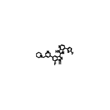 Fc1ccc(-c2ccnc3[nH]c(-c4n[nH]c5c(F)cc(-c6cncc(CN7CCCCC7)c6)cc45)nc23)s1